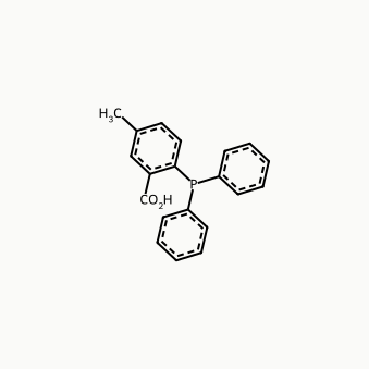 Cc1ccc(P(c2ccccc2)c2ccccc2)c(C(=O)O)c1